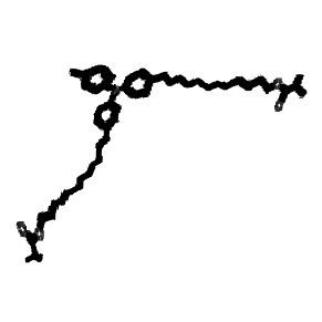 C=C(C)C(=O)OCCCCCCCCCCCCc1ccc(N(c2ccc(C)cc2)c2ccc(CCCCCCCCCCCCOC(=O)C(=C)C)cc2)cc1